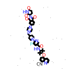 CC1(C)C(NC(=O)c2cnc(N3CCC(CN4CCN(c5ccc6c(c5)C(=O)N(C5CCC(=O)NC5=O)C6=O)CC4)CC3)c(F)c2)C(C)(C)C1Oc1ccc(C#N)c2ncccc12